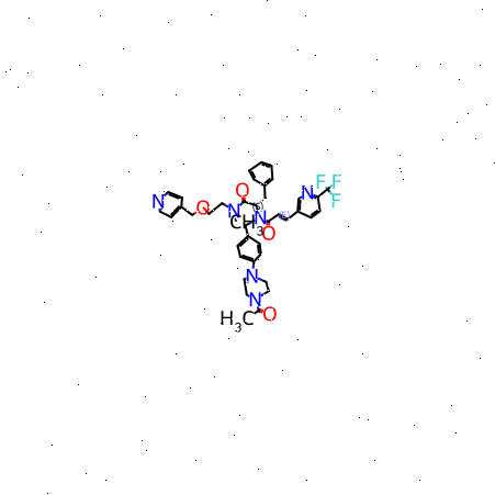 CC(=O)N1CCN(c2ccc(CN(C(=O)/C=C/c3ccc(C(F)(F)F)nc3)[C@@H](Cc3ccccc3)C(=O)N(C)CCOCc3ccncc3)cc2)CC1